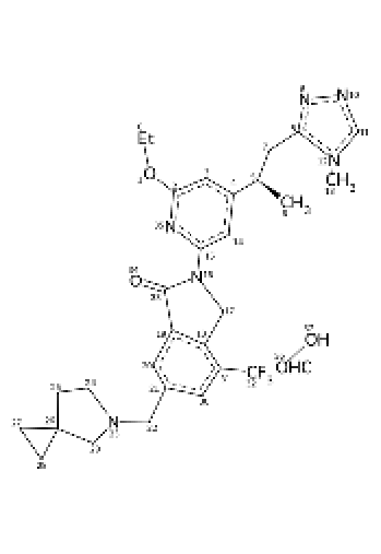 CCOc1cc([C@H](C)Cc2nncn2C)cc(N2Cc3c(cc(CN4CCC5(CC5)C4)cc3C(F)(F)F)C2=O)n1.O=CO